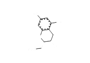 CCCCCCCCC[C@@H]1Oc2cc(O)cc(O)c2C[C@@H]1O